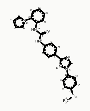 O=C(Nc1ccc(-c2ncn(-c3ccc(OC(F)(F)F)cc3)n2)cc1)Nc1ccccc1-n1cccc1